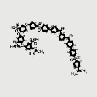 CC(C)Oc1ccc(Oc2ccc(Oc3ccc(Oc4ccc(S(=O)(=O)c5ccc(-c6ccc(C(=O)c7cccc(C(=O)c8ccc(-c9ccc(S(=O)(=O)c%10ccc(C(C)C)cc%10)cc9)cc8)c7)cc6)cc5)cc4)cc3S(=O)(=O)O)cc2S(=O)(=O)O)cc1S(=O)(=O)O